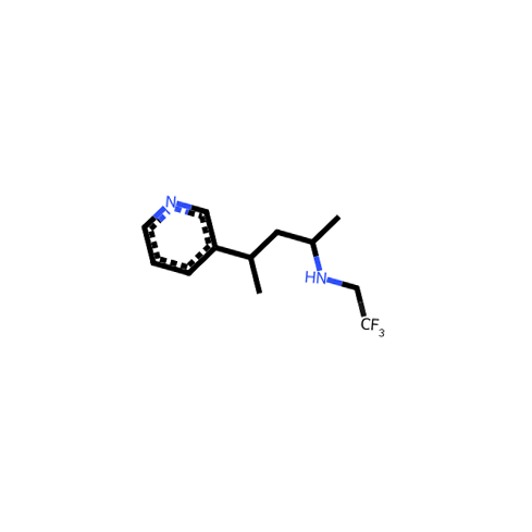 CC(CC(C)c1cccnc1)NCC(F)(F)F